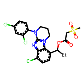 CCC(OC(=O)CS(C)(=O)=O)c1ccc(Cl)c2nc3n(c12)CCCN3c1ccc(Cl)cc1Cl